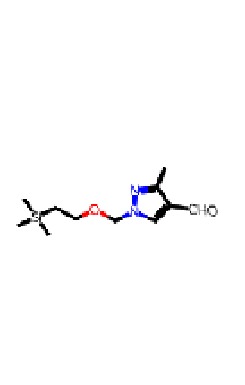 Cc1nn(COCC[Si](C)(C)C)cc1C=O